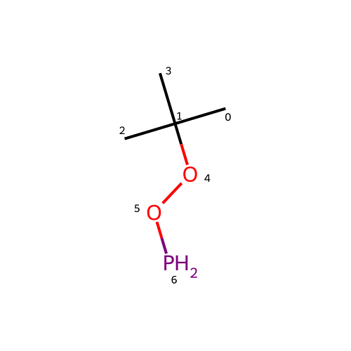 CC(C)(C)OOP